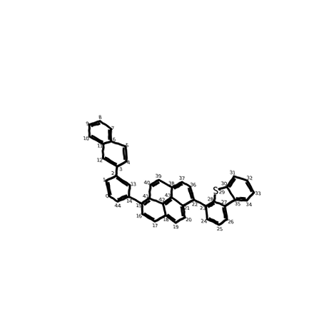 c1cc(-c2ccc3ccccc3c2)cc(-c2ccc3ccc4c(-c5cccc6c5sc5ccccc56)ccc5ccc2c3c54)c1